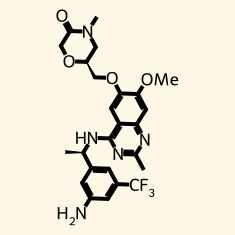 COc1cc2nc(C)nc(N[C@H](C)c3cc(N)cc(C(F)(F)F)c3)c2cc1OC[C@@H]1CN(C)C(=O)CO1